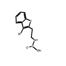 CC(C)(C)[S+]([O-])NCCc1sc2ccccc2c1Br